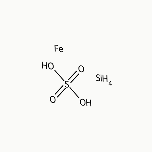 O=S(=O)(O)O.[Fe].[SiH4]